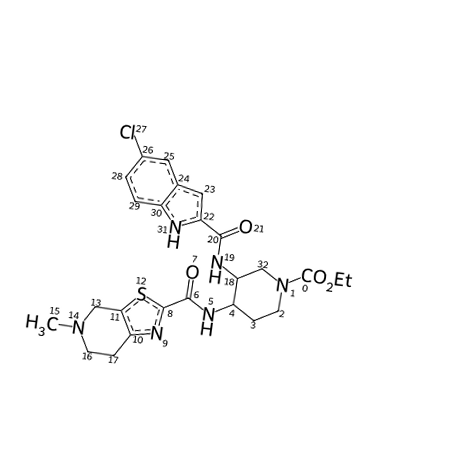 CCOC(=O)N1CCC(NC(=O)c2nc3c(s2)CN(C)CC3)C(NC(=O)c2cc3cc(Cl)ccc3[nH]2)C1